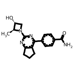 C[C@H]1[C@H](O)CN1c1nc2c(c(-c3ccc(C(N)=O)cc3)n1)CCC2